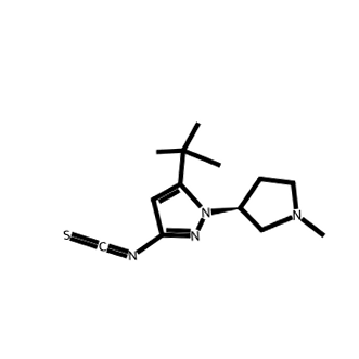 CN1CC[C@H](n2nc(N=C=S)cc2C(C)(C)C)C1